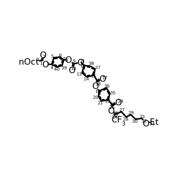 CCCCCCCCC(=O)Oc1ccc(OC(=O)Oc2ccc(C(=O)Oc3ccc(C(=O)O[C@H](CCCCCOCC)C(F)(F)F)cc3)cc2)cc1